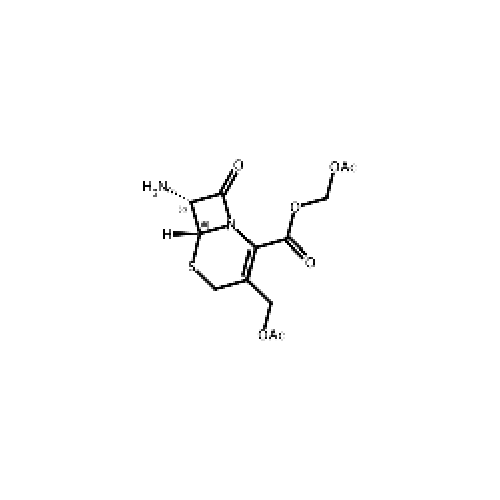 CC(=O)OCOC(=O)C1=C(COC(C)=O)CS[C@@H]2[C@H](N)C(=O)N12